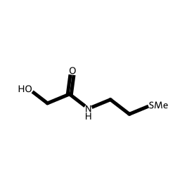 CSCCNC(=O)CO